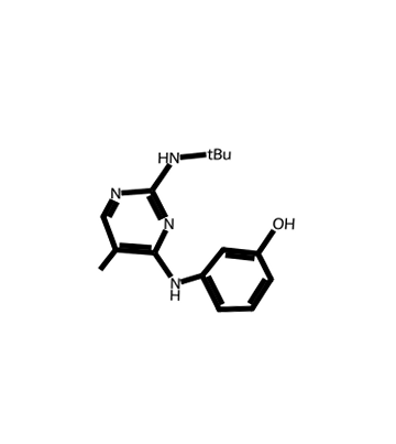 Cc1cnc(NC(C)(C)C)nc1Nc1cccc(O)c1